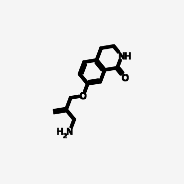 C=C(CN)COc1ccc2c(c1)C(=O)NCC2